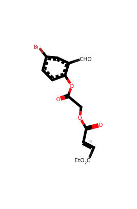 CCOC(=O)/C=C/C(=O)OCC(=O)Oc1ccc(Br)cc1C=O